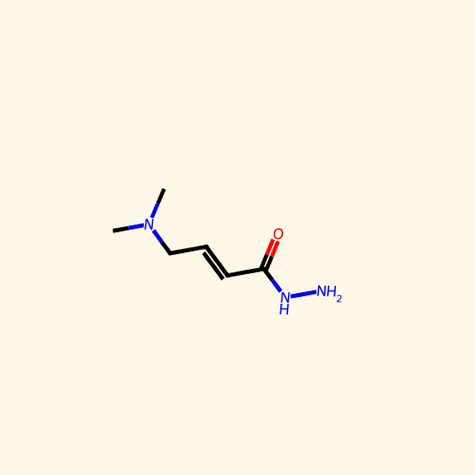 CN(C)C/C=C/C(=O)NN